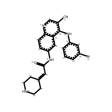 N#Cc1cnc2ccc(NC(=O)C=C3CCNCC3)cc2c1Nc1cccc(Br)c1